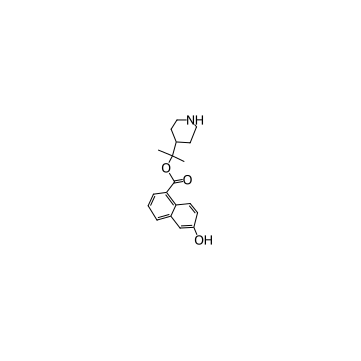 CC(C)(OC(=O)c1cccc2cc(O)ccc12)C1CCNCC1